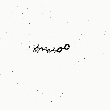 C=C(C)C(=O)OCCOCCNC(=O)Oc1ccc(-c2ccccc2)cc1